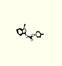 CC1CCN(OC(=O)Oc2nn(C)c3ccccc23)CC1